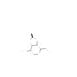 CC(=O)OCC1OCC(OC(C)=O)[C@H]2OC(=O)O[C@@H]12